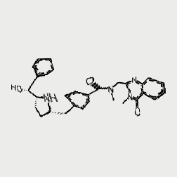 CN(Cc1nc2ccccc2c(=O)n1C)C(=O)c1ccc(C[C@@H]2CC[C@H]([C@H](O)c3ccccc3)N2)cc1